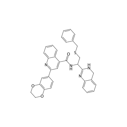 O=C(NC(CSCc1ccccc1)C1=Nc2ccccc2CN1)c1cc(-c2ccc3c(c2)OCCO3)nc2ccccc12